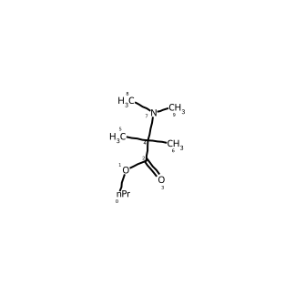 CCCOC(=O)C(C)(C)N(C)C